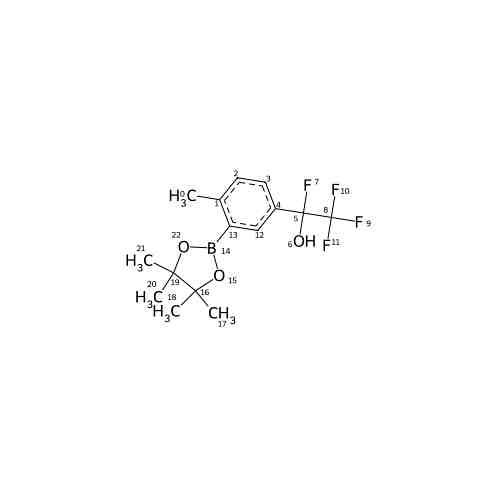 Cc1ccc(C(O)(F)C(F)(F)F)cc1B1OC(C)(C)C(C)(C)O1